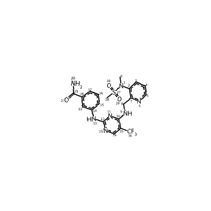 CN(c1cccnc1CNc1nc(Nc2cccc(C(N)=O)c2)ncc1C(F)(F)F)S(C)(=O)=O